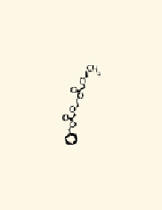 CCCOCC(=O)OCCOCC(=O)OCc1ccccc1